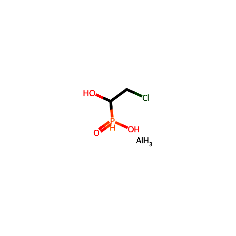 O=[PH](O)C(O)CCl.[AlH3]